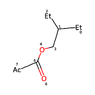 CCC(CC)COC(=O)C(C)=O